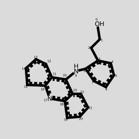 OCCc1ccccc1Nc1c2ccccc2nc2ccccc12